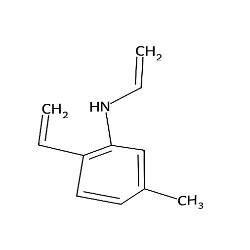 C=CNc1cc(C)ccc1C=C